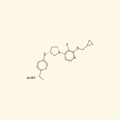 CC(=O)N[C@@H](C)c1ccc(O[C@@H]2CCN(c3ccnc(OCC4CC4)c3F)C2)cc1